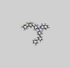 c1ccc(-c2cccc(-c3ccc(N(c4ccc(-c5ccc6sc7ccccc7c6c5)cc4)c4ccc5ccccc5c4)cc3)c2)cc1